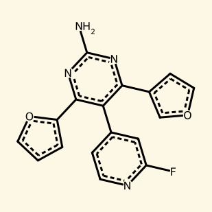 Nc1nc(-c2ccoc2)c(-c2ccnc(F)c2)c(-c2ccco2)n1